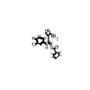 Nc1nonc1/C(=N/OC(=O)c1ccccc1)Nc1ccc(F)c(Cl)c1